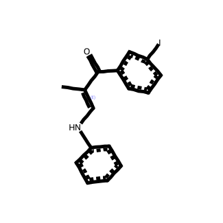 C/C(=C\Nc1ccccc1)C(=O)c1cccc(I)c1